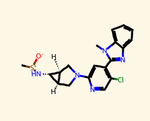 Cn1c(-c2cc(N3C[C@@H]4[C@H](C3)[C@H]4N[S+](C)[O-])ncc2Cl)nc2ccccc21